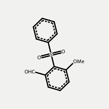 COc1cccc(C=O)c1S(=O)(=O)c1ccccc1